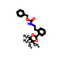 CC1(C)OB(c2ccccc2CCNC(=O)OCc2ccccc2)OC1(C)C